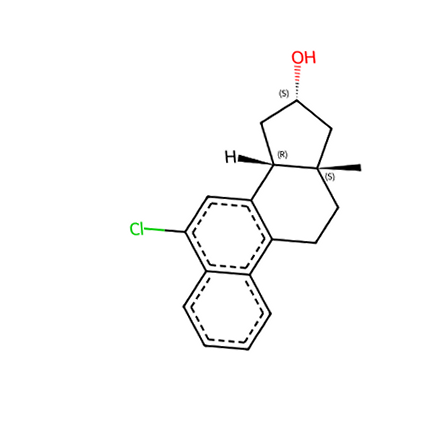 C[C@@]12CCc3c(cc(Cl)c4ccccc34)[C@@H]1C[C@H](O)C2